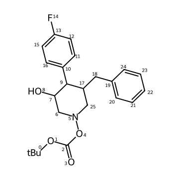 CC(C)(C)OC(=O)ON1CC(O)C(c2ccc(F)cc2)C(Cc2ccccc2)C1